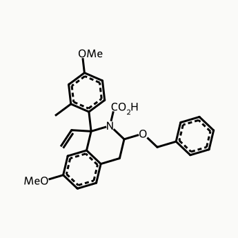 C=CC1(c2ccc(OC)cc2C)c2cc(OC)ccc2CC(OCc2ccccc2)N1C(=O)O